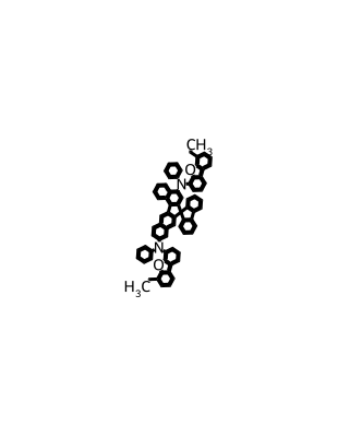 CCc1cccc2c1oc1c(N(c3ccccc3)c3ccc4cc5c(cc4c3)C3(c4ccccc4-c4ccccc43)c3cc(N(c4ccccc4)c4cccc6c4oc4c(CC)cccc46)c4ccccc4c3-5)cccc12